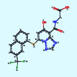 O=C(O)CNC(=O)c1c(O)cc(Sc2cccc3ccc(C(F)(F)F)cc23)n2ncnc12